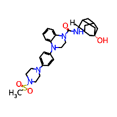 CS(=O)(=O)N1CCN(c2ccc(N3CCN(C(=O)N[C@H]4C5CC6CC4C[C@@](O)(C6)C5)c4ccccc43)cc2)CC1